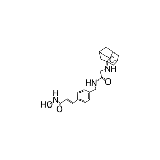 O=C(C=Cc1ccc(CNC(=O)CNC23CC4CC(CC(C4)C2)C3)cc1)NO